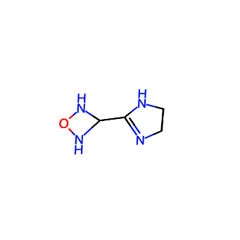 C1CNC(C2NON2)=N1